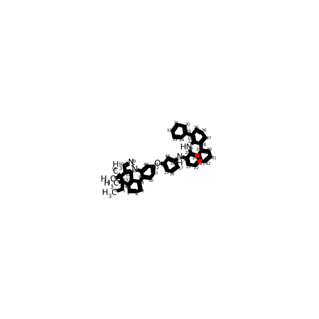 CCC1(C)c2cccc3c4ccc(Oc5cccc(Nc6ccccc6Nc6c(-c7ccccc7)cccc6-c6ccccc6)c5)cc4n4ncc(c4c23)C1(C)C